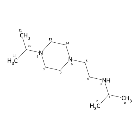 CC(C)NCCN1CCN(C(C)C)CC1